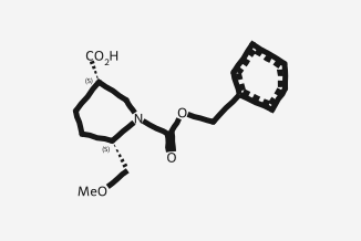 COC[C@@H]1CC[C@H](C(=O)O)CN1C(=O)OCc1ccccc1